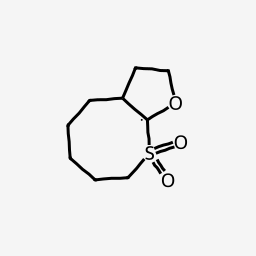 O=S1(=O)CCCCCC2CCO[C]21